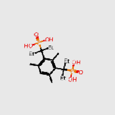 CCC(CC)(c1c(C)cc(C)c(C(CC)(CC)P(=O)(O)O)c1C)P(=O)(O)O